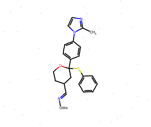 CON=CC1CCOC(Sc2ccccc2)(c2ccc(-n3ccnc3C)cc2)C1